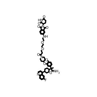 CC(C(N)=O)(c1ccc(Cl)c(OC2CCN(C(=O)CCOCCOCCNc3ccc4c(c3)C(=O)N(C3CCC(=O)NC3=O)C4=O)CC2)c1)C1CCC(c2ccnc3ccc(F)cc23)CC1